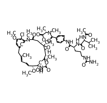 COc1cc2cc(c1Cl)N(C)C(=O)C[C@H](OC(=O)[C@H](C)N(C)C(=O)c1ccc(NC(=O)[C@H](CCCNC(N)=O)NC(=O)[C@@H](NC(C)=O)C(C)C)cc1)[C@]1(C)O[C@H]1[C@H](C)[C@@H]1C[C@@](O)(NC(=O)O1)[C@H](OC)/C=C/C=C(\C)C2